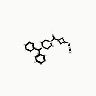 [N-]=[N+]=NC1CC(C(=O)N2CCN(C(c3ccccc3)c3ccccc3)CC2)C1